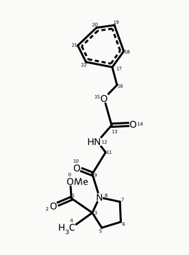 COC(=O)C1(C)CCCN1C(=O)CNC(=O)OCc1ccccc1